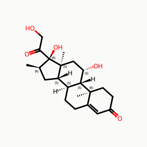 C[C@@H]1C[C@H]2[C@@H]3CCC4=CC(=O)CC[C@]4(C)[C@H]3[C@@H](O)C[C@]2(C)[C@@]1(O)C(=O)CO